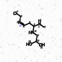 CNC(C/C=N\CCl)NCC(O)O